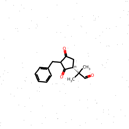 CC(C)(C=O)[C@H]1CC(=O)C(Cc2ccccc2)C1=O